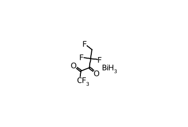 O=C(C(=O)C(F)(F)CF)C(F)(F)F.[BiH3]